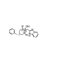 OC1C[C@@H]2C[C@H](Cc3ccccc3)C[C@H]1N2Cc1nc2ccccc2[nH]1